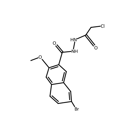 COc1cc2ccc(Br)cc2cc1C(=O)NNC(=O)CCl